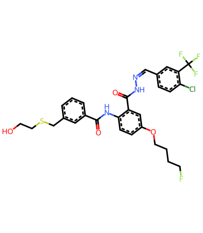 O=C(Nc1ccc(OCCCCF)cc1C(=O)N/N=C\c1ccc(Cl)c(C(F)(F)F)c1)c1cccc(CSCCO)c1